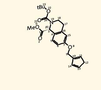 COC(=O)[C@H]1c2ccc(OCC3=CCC=C3)cc2CCN1C(=O)OC(C)(C)C